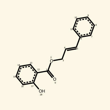 O=C(OC/C=C/c1ccccc1)c1ccccc1O